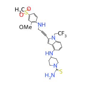 COc1cc(S(C)(=O)=O)ccc1NCC#Cc1cc2c(NC3CCN(C(N)=S)CC3)cccc2n1CC(F)(F)F